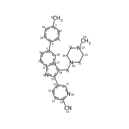 Cc1ccc(-c2ccc3nc(-c4ccc(C#N)nc4)c(CN4CCN(C)CC4)n3c2)cc1